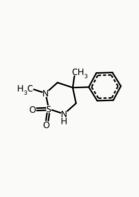 CN1CC(C)(c2ccccc2)CNS1(=O)=O